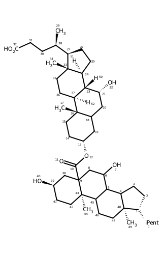 CCC[C@@H](C)[C@H]1CCC2C3C(O)CC4(C(=O)O[C@@H]5CC[C@@]6(C)C(C5)C[C@@H](O)[C@H]5[C@@H]7CC[C@H]([C@H](C)CCC(=O)O)[C@@]7(C)CC[C@@H]56)C[C@H](O)CC[C@]4(C)C3CC[C@@]21C